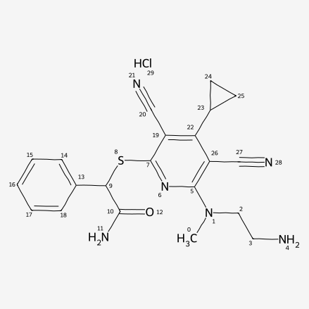 CN(CCN)c1nc(SC(C(N)=O)c2ccccc2)c(C#N)c(C2CC2)c1C#N.Cl